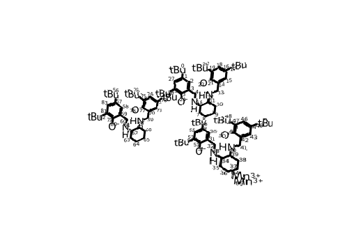 CC(C)(C)c1cc(CNC2CCCCC2NCc2cc(C(C)(C)C)cc(C(C)(C)C)c2[O-])c([O-])c(C(C)(C)C)c1.CC(C)(C)c1cc(CNC2CCCCC2NCc2cc(C(C)(C)C)cc(C(C)(C)C)c2[O-])c([O-])c(C(C)(C)C)c1.CC(C)(C)c1cc(CN[C@H]2CCCC[C@@H]2NCc2cc(C(C)(C)C)cc(C(C)(C)C)c2[O-])c([O-])c(C(C)(C)C)c1.[Mn+3].[Mn+3]